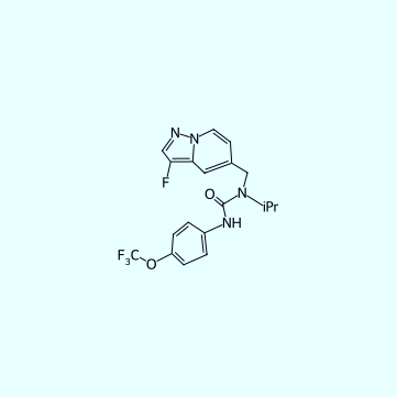 CC(C)N(Cc1ccn2ncc(F)c2c1)C(=O)Nc1ccc(OC(F)(F)F)cc1